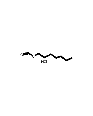 CCCCCCCOC=O.Cl